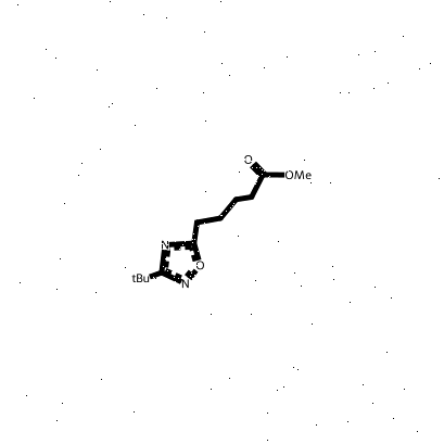 COC(=O)CCCCc1nc(C(C)(C)C)no1